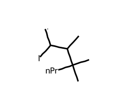 [CH2]C(I)C(C)C(C)(C)CCC